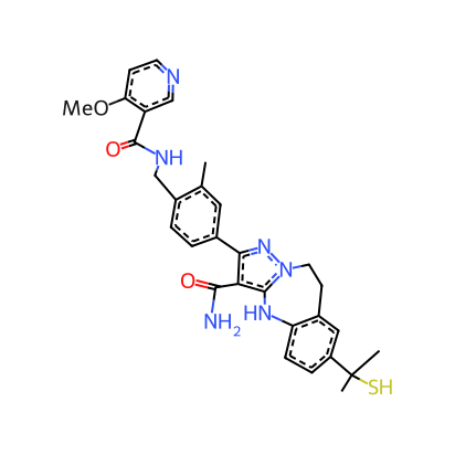 COc1ccncc1C(=O)NCc1ccc(-c2nn3c(c2C(N)=O)Nc2ccc(C(C)(C)S)cc2CC3)cc1C